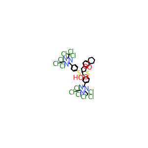 O=C(OC1CCCCC1)C(Sc1ccc(-c2nc(C(Cl)(Cl)Cl)nc(C(Cl)(Cl)Cl)n2)cc1)C(Cc1ccccc1)(Sc1ccc(-c2nc(C(Cl)(Cl)Cl)nc(C(Cl)(Cl)Cl)n2)cc1)C(=O)O